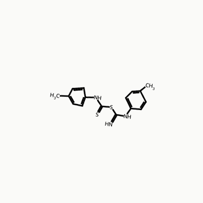 Cc1ccc(NC(=N)SC(=S)Nc2ccc(C)cc2)cc1